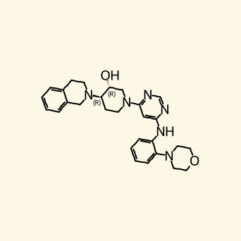 O[C@@H]1CN(c2cc(Nc3ccccc3N3CCOCC3)ncn2)CC[C@H]1N1CCc2ccccc2C1